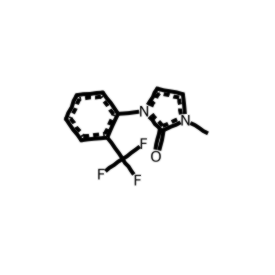 Cn1ccn(-c2ccccc2C(F)(F)F)c1=O